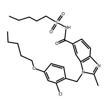 CCCCCOc1ccc(Cn2c(C)nc3ccc(C(=O)NS(=O)(=O)CCCCC)cc32)c(Cl)c1